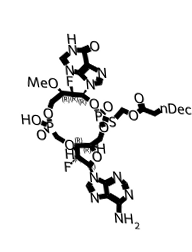 CCCCCCCCCCCC(=O)OCSP1(=O)OC[C@H]2O[C@@H](n3cnc4c(N)ncnc43)[C@H](F)[C@@H]2OCP(=O)(O)OC[C@@H](OC)[C@@H](F)[C@H](n2cnc3c(=O)[nH]cnc32)O1